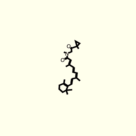 CC1=C(/C=C/C(C)=C\C=C\C(C)=C\C(=O)N(C)CC(=O)C2(C)CC2)C(C)(C)CCC1